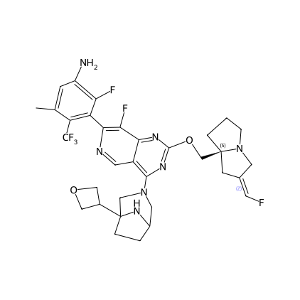 Cc1cc(N)c(F)c(-c2ncc3c(N4CC5CCC(C6COC6)(C4)N5)nc(OC[C@@]45CCCN4C/C(=C\F)C5)nc3c2F)c1C(F)(F)F